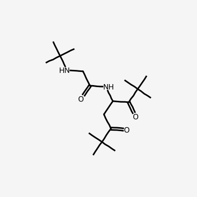 CC(C)(C)NCC(=O)NC(CC(=O)C(C)(C)C)C(=O)C(C)(C)C